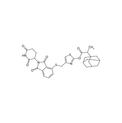 CC(C(=O)Oc1nc(CSc2cccc3c2C(=O)N(C2CCC(=O)NC2=O)C3=O)cs1)C12CC3CC(CC(C3)C1)C2